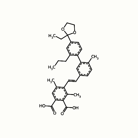 CCCc1cc(C2(CC)OCCO2)ccc1-c1cc(C=Cc2c(C)cc(C(=O)O)c(C(=O)O)c2C)ccc1C